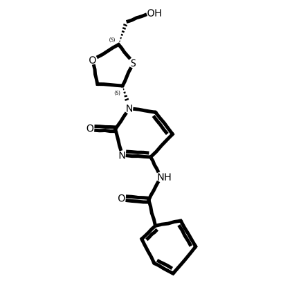 O=C(Nc1ccn([C@@H]2CO[C@H](CO)S2)c(=O)n1)c1ccccc1